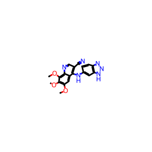 COc1cc2c(Nc3ccc4nn[nH]c4c3)c(C#N)cnc2c(OC)c1OC